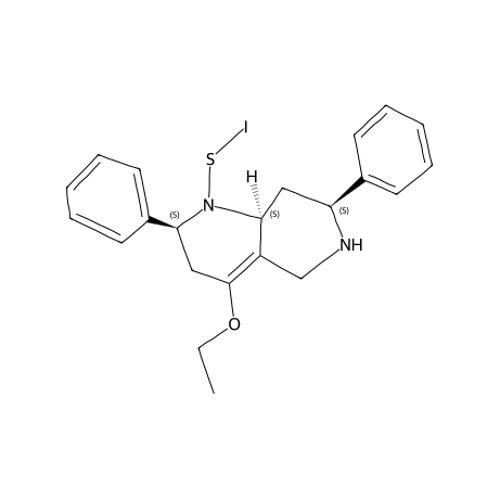 CCOC1=C2CN[C@H](c3ccccc3)C[C@@H]2N(SI)[C@H](c2ccccc2)C1